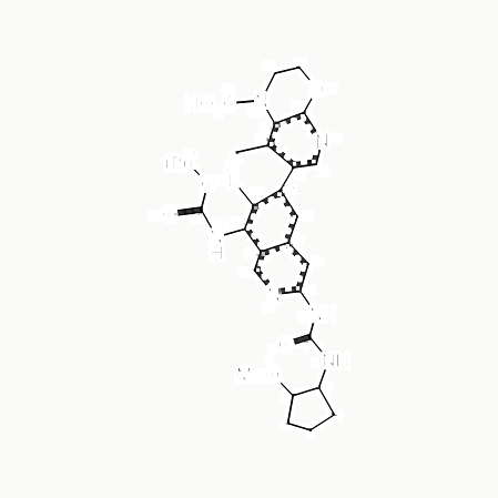 COC1CCCC1NC(=O)Nc1cc2cc(-c3cnc4c(c3C)N(C(=O)O)CCO4)c(F)c(NC(=O)OC(C)(C)C)c2cn1